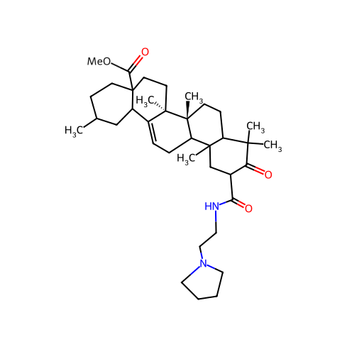 COC(=O)C12CCC(C)CC1C1=CCC3C4(C)CC(C(=O)NCCN5CCCC5)C(=O)C(C)(C)C4CC[C@@]3(C)[C@]1(C)CC2